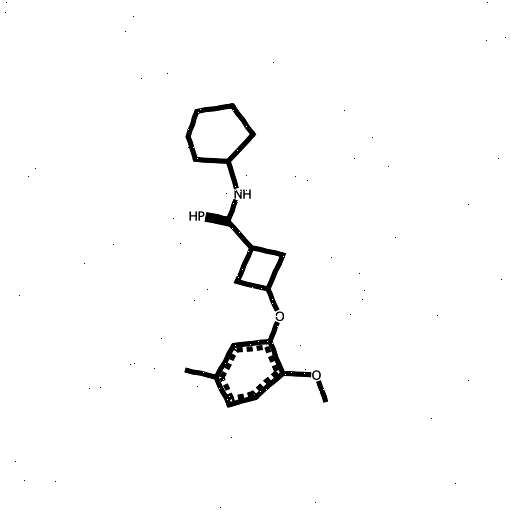 COc1ccc(C)cc1OC1CC(C(=P)NC2CCCCC2)C1